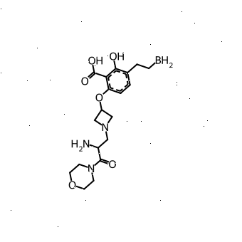 BCCc1ccc(OC2CN(CC(N)C(=O)N3CCOCC3)C2)c(C(=O)O)c1O